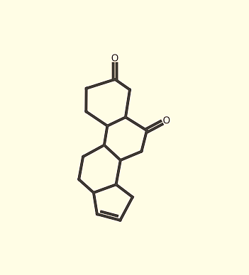 O=C1CCC2C(C1)C(=O)CC1C3CC=CC3CCC21